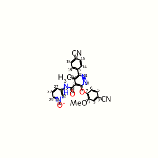 COc1cc(C#N)ccc1Oc1nnc(-c2ccc(C#N)cc2)c(C)c1C(=O)Nc1ccc[n+]([O-])c1